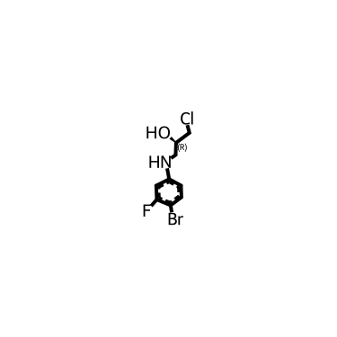 O[C@@H](CCl)CNc1ccc(Br)c(F)c1